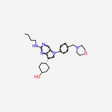 CCCCNc1ncc2c(n1)c([C@H]1CC[C@H](O)CC1)cn2-c1ccc(CN2CCOCC2)cc1